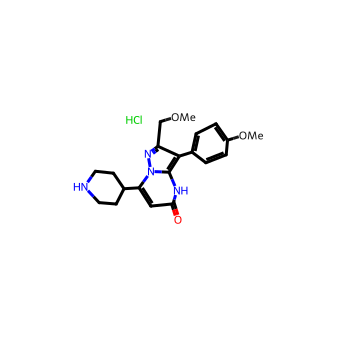 COCc1nn2c(C3CCNCC3)cc(=O)[nH]c2c1-c1ccc(OC)cc1.Cl